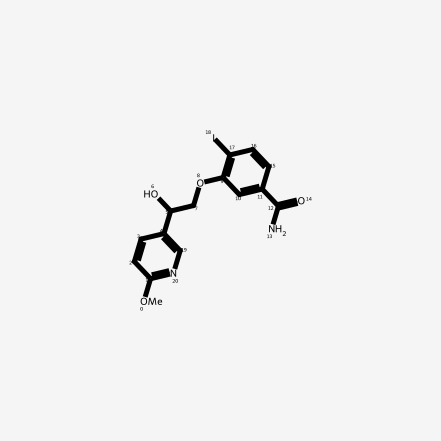 COc1ccc(C(O)COc2cc(C(N)=O)ccc2I)cn1